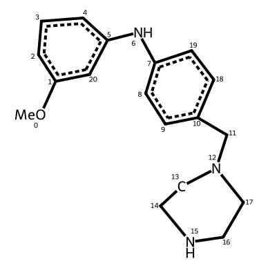 COc1cccc(Nc2ccc(CN3CCNCC3)cc2)c1